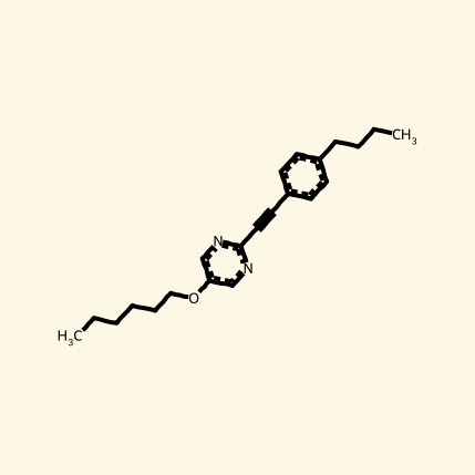 CCCCCCOc1cnc(C#Cc2ccc(CCCC)cc2)nc1